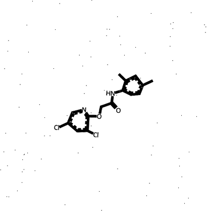 Cc1ccc(NC(=O)COc2ncc(Cl)cc2Cl)c(C)c1